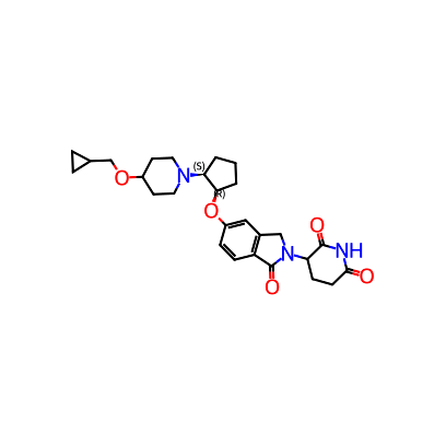 O=C1CCC(N2Cc3cc(O[C@@H]4CCC[C@@H]4N4CCC(OCC5CC5)CC4)ccc3C2=O)C(=O)N1